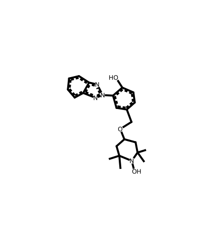 CC1(C)CC(OCc2ccc(O)c(-n3nc4ccccc4n3)c2)CC(C)(C)N1O